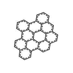 c1cc2ccc3c4cccc5c6cccc7cc8ccc9ccc%10c(c1)c2c3c1c%10c9c8c(c76)c1c54